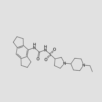 CCN1CCC(N2CCC(S(=O)(=O)NC(=O)Nc3c4c(cc5c3CCC5)CCC4)C2)CC1